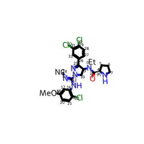 CCN(C(=O)[C@H]1CCCN1)C1CN(/C(=N\C#N)Nc2cc(OC)ccc2Cl)N=C1c1ccc(Cl)c(Cl)c1